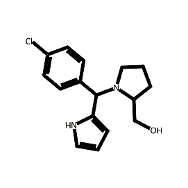 OCC1CCCN1C(c1ccc(Cl)cc1)c1ccc[nH]1